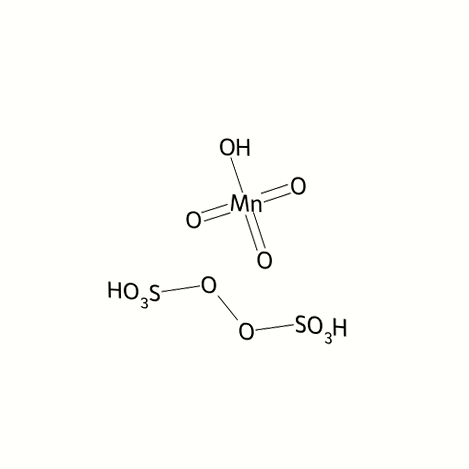 O=S(=O)(O)OOS(=O)(=O)O.[O]=[Mn](=[O])(=[O])[OH]